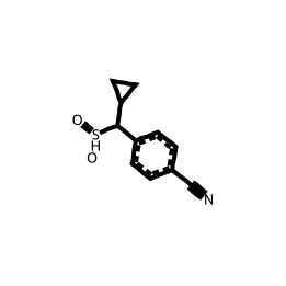 N#Cc1ccc(C(C2CC2)[SH](=O)=O)cc1